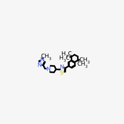 Cn1cnc(CN2CCC(c3nc(-c4ccc5c(c4)C(C)(C)CCC5(C)C)cs3)CC2)c1